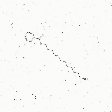 O=C(OCCCCCCCCCCCCO)c1ccccc1